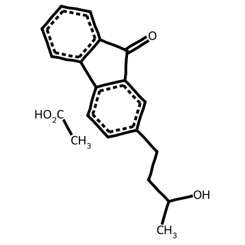 CC(=O)O.CC(O)CCc1ccc2c(c1)C(=O)c1ccccc1-2